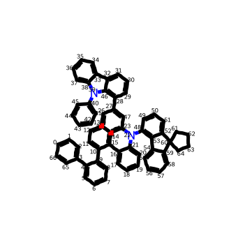 c1ccc(-c2ccccc2-c2ccccc2-c2ccccc2N(c2cccc(-c3cccc4c5ccccc5n(-c5ccccc5)c34)c2)c2cccc3c2-c2ccccc2C32CCCC2)cc1